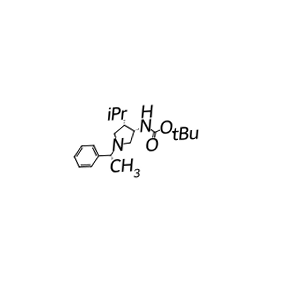 CC(C)[C@H]1CN([C@H](C)c2ccccc2)C[C@H]1NC(=O)OC(C)(C)C